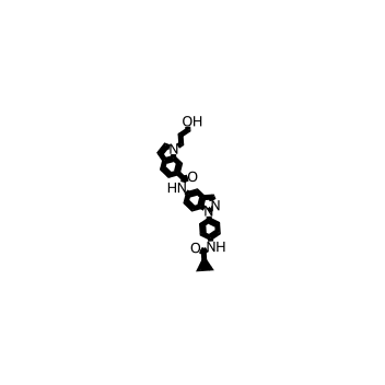 O=C(Nc1ccc2c(cnn2-c2ccc(NC(=O)C3CC3)cc2)c1)c1ccc2ccn(CCCO)c2c1